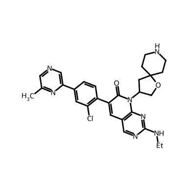 CCNc1ncc2cc(-c3ccc(-c4cncc(C)n4)cc3Cl)c(=O)n(C3COC4(CCNCC4)C3)c2n1